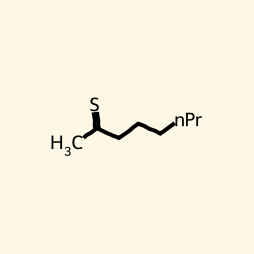 CCCCCCC(C)=S